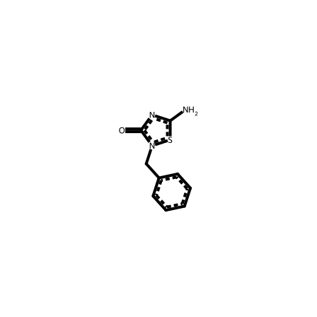 Nc1nc(=O)n(Cc2ccccc2)s1